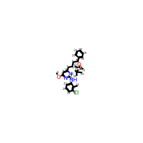 COc1cc(CCCC(O[Si](C)(C)C(C)(C)C)c2ccccc2)nc(Nc2cccc(Cl)c2C)n1